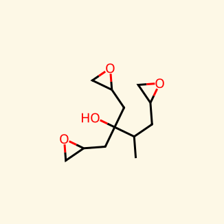 CC(CC1CO1)C(O)(CC1CO1)CC1CO1